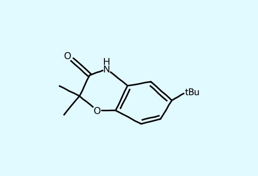 CC1(C)Oc2ccc(C(C)(C)C)cc2NC1=O